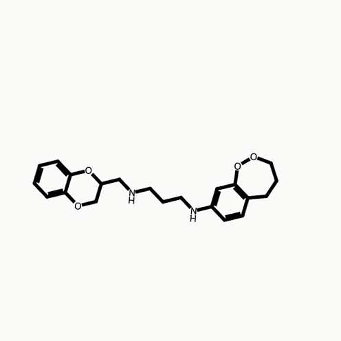 c1ccc2c(c1)OCC(CNCCCNc1ccc3c(c1)OOCCC3)O2